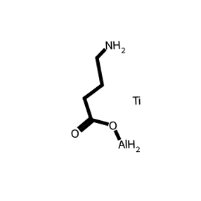 NCCCC(=O)[O][AlH2].[Ti]